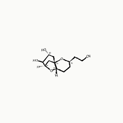 N#CCC[C@H]1CC[C@@H]2O[C@@H]3C[C@]2(C[C@@H](O)C3O)O1